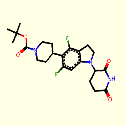 CC(C)(C)OC(=O)N1CCC(c2c(F)cc3c(c2F)CCN3C2CCC(=O)NC2=O)CC1